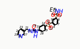 CCNS(=O)(=O)c1cccc(S(=O)(=O)c2ccc(NC(=O)NCc3cccnc3)cc2)c1